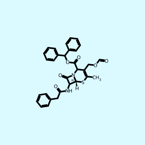 CC1=C(COC=O)C(C(=O)OC(c2ccccc2)c2ccccc2)N2C(=O)C(NC(=O)Cc3ccccc3)[C@H]2S1